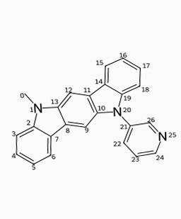 Cn1c2ccccc2c2cc3c(cc21)c1ccccc1n3-c1cccnc1